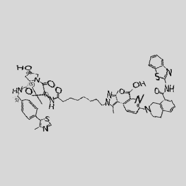 Cc1ncsc1-c1ccc([C@H](C)NC(=O)[C@@H]2C[C@@H](O)CN2C(=O)[C@@H](NC(=O)CCCCCCCn2nc(C)c(-c3ccc(N4CCc5cccc(C(=O)Nc6nc7ccccc7s6)c5C4)nc3C(=O)O)c2C)C(C)(C)C)cc1